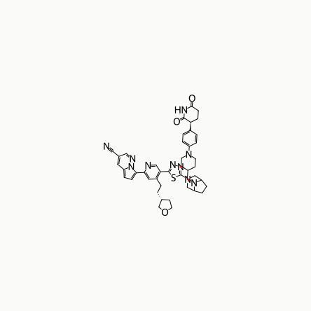 N#Cc1cnn2c(-c3cc(CC[C@@H]4CCOC4)c(-c4nnc(N5CC6CCC(C5)N6CC5CCN(c6ccc([C@@H]7CCC(=O)NC7=O)cc6)CC5)s4)cn3)ccc2c1